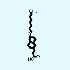 CCCCCCCCOc1ccc2cc(/C=C/C(=O)O)ccc2c1